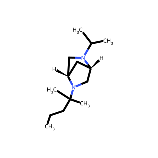 CCCC(C)(C)N1C[C@@H]2C[C@H]1CN2C(C)C